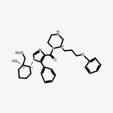 COC[C@]1(O)CCCC[C@H]1n1cnc(C(=O)N2CCNC[C@H]2CCCOc2ccccc2)c1-c1ccccc1